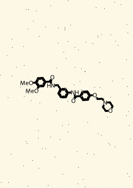 COc1ccc(C(=O)NCc2cccc(NC(=O)c3ccc(OCCN4CCOCC4)cc3)c2)cc1OC